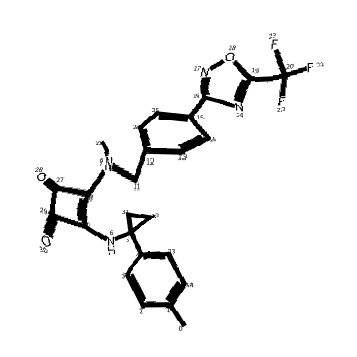 Cc1ccc(C2(Nc3c(N(C)Cc4ccc(-c5noc(C(F)(F)F)n5)cc4)c(=O)c3=O)CC2)cc1